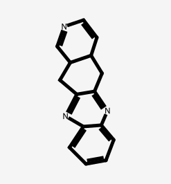 C1=CC2Cc3nc4ccccc4nc3CC2C=N1